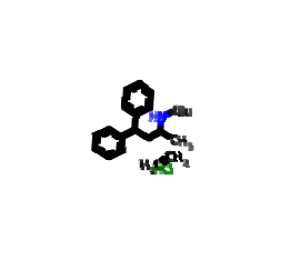 C=C.CC(CC(c1ccccc1)c1ccccc1)NC(C)(C)C.Cl